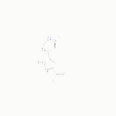 FC(F)c1cc(-c2cc(Cl)ncn2)n(I)n1